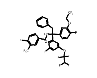 O=C(NC(Cc1ccccc1)(c1cc(F)cc(OC(F)(F)C(F)F)c1)c1ccc(F)c(OCC(F)(F)F)c1)c1ccc(F)c(C(F)(F)F)c1